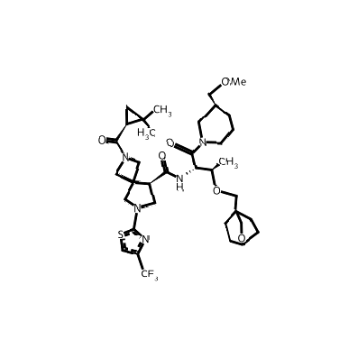 COC[C@H]1CCCN(C(=O)[C@@H](NC(=O)[C@H]2CN(c3nc(C(F)(F)F)cs3)CC23CN(C(=O)[C@H]2CC2(C)C)C3)[C@@H](C)OCC23CCC(CC2)OC3)C1